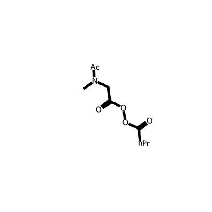 CCCC(=O)OOC(=O)CN(C)C(C)=O